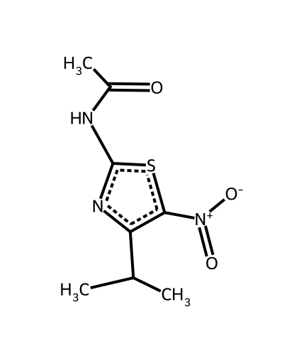 CC(=O)Nc1nc(C(C)C)c([N+](=O)[O-])s1